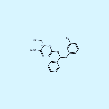 COC(=O)[C@H](CC(C)C)NC(=O)OC(Cc1cccc(Cl)c1)c1ccccc1